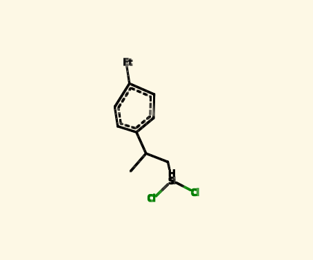 CCc1ccc(C(C)C[SiH](Cl)Cl)cc1